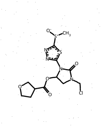 C[S+]([O-])c1nnc(N2C(=O)N(CCl)CC2OC(=O)C2CCOC2)s1